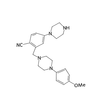 COc1ccc(N2CCN(Cc3cc(N4CCNCC4)ccc3C#N)CC2)cc1